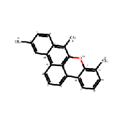 CC(C)(C)c1ccc2c(C#N)c3c4c(cccc4c2c1)-c1cccc(C(C)(C)C)c1O3